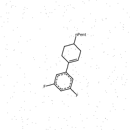 CCCCCC1CC=C(c2cc(F)cc(F)c2)CC1